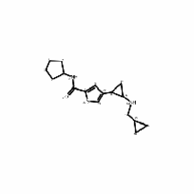 O=C(NC1CCCC1)c1cc(C2CC2NCC2CC2)cs1